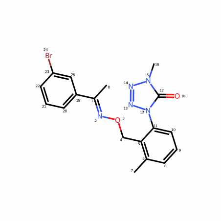 CC(=NOCc1c(C)cccc1-n1nnn(C)c1=O)c1cccc(Br)c1